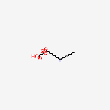 CCCCCCCC/C=C\CCCCCCCC(=O)OC(=O)CCC(=O)O